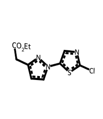 CCOC(=O)Cc1ccn(-c2cnc(Cl)s2)n1